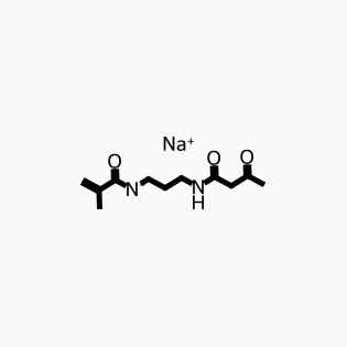 C=C(C)C(=O)[N-]CCCNC(=O)CC(C)=O.[Na+]